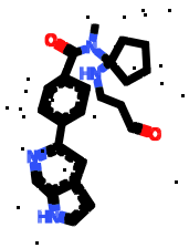 CN(C(=O)c1ccc(-c2cc3cc[nH]c3cn2)cc1)C1(NCCC=O)CCCC1